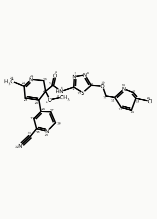 COC1(C(=O)Nc2nnc(OCc3ccc(Cl)cn3)s2)CN=C(C)C=C1c1ccnc(C#N)c1